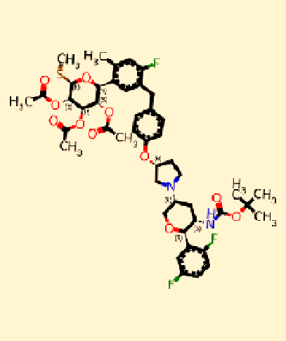 CS[C@H]1O[C@@H](c2cc(Cc3ccc(O[C@@H]4CCN([C@H]5CO[C@H](c6cc(F)ccc6F)[C@@H](NC(=O)OC(C)(C)C)C5)C4)cc3)c(F)cc2C)[C@H](OC(C)=O)[C@@H](OC(C)=O)[C@@H]1OC(C)=O